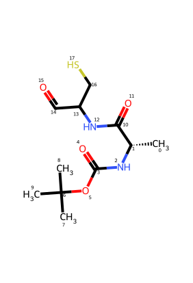 C[C@H](NC(=O)OC(C)(C)C)C(=O)NC(C=O)CS